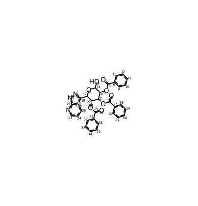 O=C(OC1[C@H](OC(=O)c2ccccc2)C(O)OC(c2nnc3ncccn23)[C@H]1OC(=O)c1ccccc1)c1ccccc1